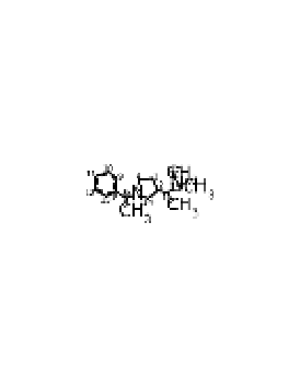 CC(C1CCN([C@@H](C)c2ccccc2)C1)N(C)C